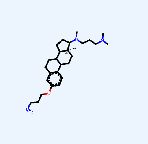 CN(C)CCCN(C)C1CCC2C3CCc4cc(OCCCN)ccc4C3CC[C@@]21C